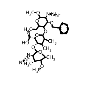 CCC1OC(OC)[C@@H](N=[N+]=[N-])[C@H](OCc2ccccc2)C1O[C@@H]1O[C@@H](C(=O)O)[C@@H](OC2OC(C)C(OC)[C@H](C)[C@@H]2N=[N+]=[N-])C(C)C1C